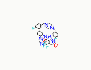 COc1cc(C(F)(F)F)c(C(=O)Nc2cc(-c3cc(CN4CCN(Cc5ccc(F)cc5)CC4)ccc3F)ccc2N2CCN(C)CC2)cn1